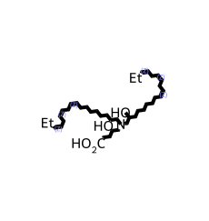 CC/C=C\C/C=C\C/C=C\CCCCCCC(O)CN(CCCCC(=O)O)CC(O)CCCCCC/C=C\C/C=C\C/C=C\CC